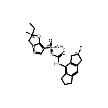 CC[C@@]1(C)Cn2ncc([S@](N)(=O)=NC(=O)Nc3c4c(cc5c3C[C@@H](F)C5)CCC4)c2O1